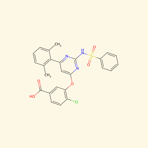 Cc1cccc(C)c1-c1cc(Oc2cc(C(=O)O)ccc2Cl)nc(NS(=O)(=O)c2ccccc2)n1